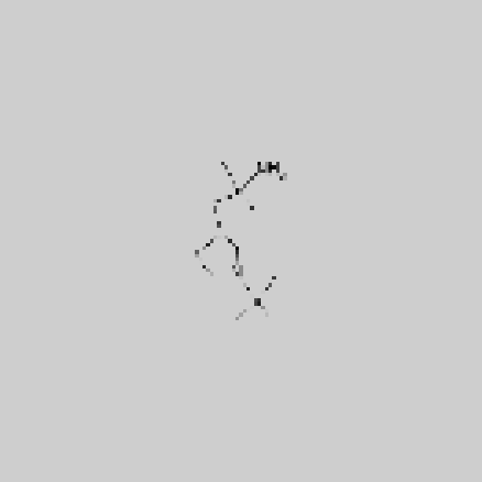 CC(C)(N)CC1CCN(C(C)(C)C)C1